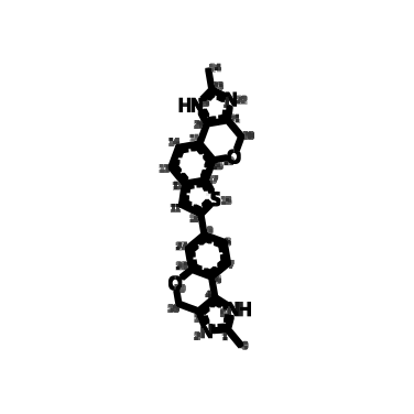 Cc1nc2c([nH]1)-c1ccc(-c3cc4ccc5c(c4s3)OCc3nc(C)[nH]c3-5)cc1OC2